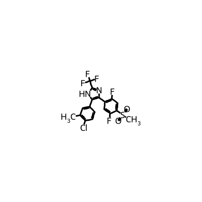 Cc1cc(-c2[nH]c(C(F)(F)F)nc2-c2cc(F)c(S(C)(=O)=O)cc2F)ccc1Cl